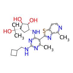 Cc1nc(NCC2CCC2)nc(N[C@@H]2C[C@H](C(C)(C)O)[C@@H](O)[C@H]2O)c1-c1nc2c(C)nccc2s1